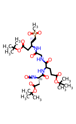 CC(C)(C)OC(=O)CCC(NC(=O)[C@H](CC(=O)OC(C)(C)C)NC=O)C(=O)NCC(=O)NC(/C=C/S(C)(=O)=O)CC(=O)OC(C)(C)C